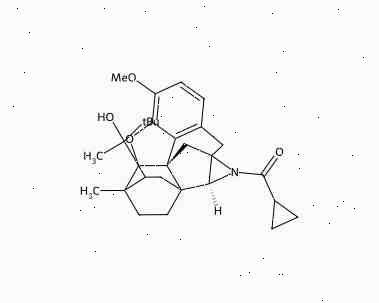 COc1ccc2c3c1OC1C4(C)CCC5(CC4C(C)(O)C(C)(C)C)[C@@H]4N(C(=O)C6CC6)C4(C2)C[C@]315